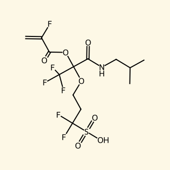 C=C(F)C(=O)OC(OCCC(F)(F)S(=O)(=O)O)(C(=O)NCC(C)C)C(F)(F)F